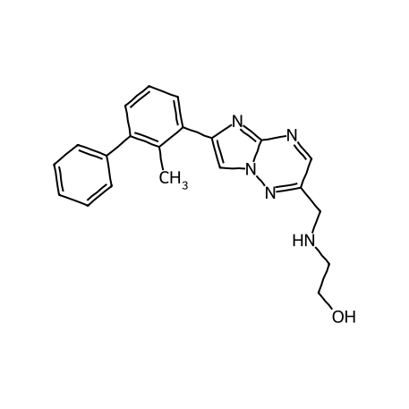 Cc1c(-c2ccccc2)cccc1-c1cn2nc(CNCCO)cnc2n1